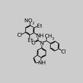 CCc1c(Cl)cc([N+](=O)[O-])c(CC)c1NC(=O)N(c1ccc2[nH]ccc2c1)[C@@H](C)c1ccc(Cl)cc1